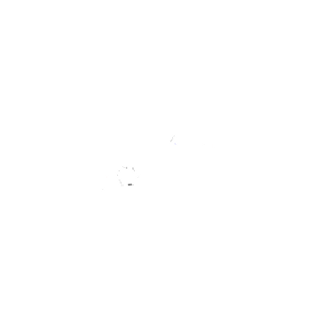 CCOC(C)(C)CC/C(C)=C/CCOc1ccc2c(c1)OC(C)(C)C2